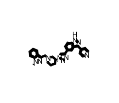 Cn1nc(CN2CCC[C@@H](n3cc(-c4ccc5[nH]nc(-c6ccncc6)c5c4)nn3)C2)c2ccccc21